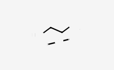 [CH2]CCC.[Cl][Zn][Cl]